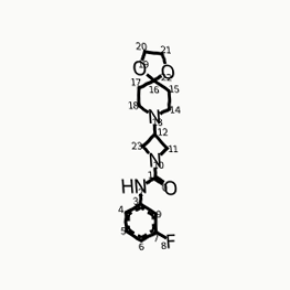 O=C(Nc1cccc(F)c1)N1CC(N2CCC3(CC2)OCCO3)C1